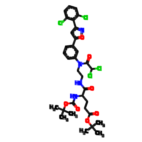 CC(C)(C)OC(=O)CCC(NC(=O)OC(C)(C)C)C(=O)NCCN(C(=O)C(Cl)Cl)c1cccc(-c2cc(-c3c(Cl)cccc3Cl)no2)c1